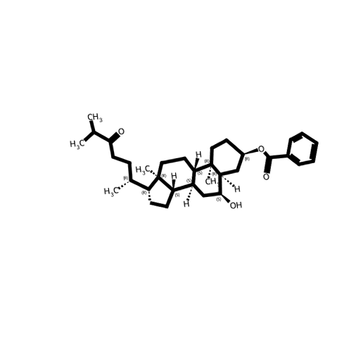 CC(C)C(=O)CC[C@@H](C)[C@H]1CC[C@H]2[C@@H]3C[C@H](O)[C@@H]4C[C@H](OC(=O)c5ccccc5)CC[C@]4(C)[C@H]3CC[C@]12C